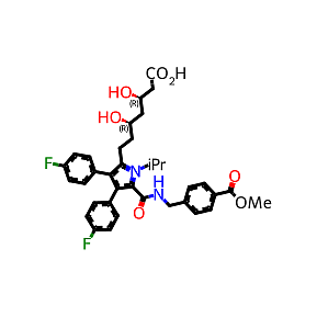 COC(=O)c1ccc(CNC(=O)c2c(-c3ccc(F)cc3)c(-c3ccc(F)cc3)c(CC[C@@H](O)C[C@@H](O)CC(=O)O)n2C(C)C)cc1